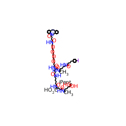 CCCC(C)CC(O)(O)CCCCC(C)NC(=O)CC[C@H](NC(=O)CCCCCNC(=O)CCC(NC(=O)CCOCCOCCOCCOCCNC(=O)CCC(=O)N1Cc2ccccc2/C=C\c2ccccc21)C(=O)NC(C)CCCCNC(=O)CCCc1ccc(I)cc1)C(=O)O